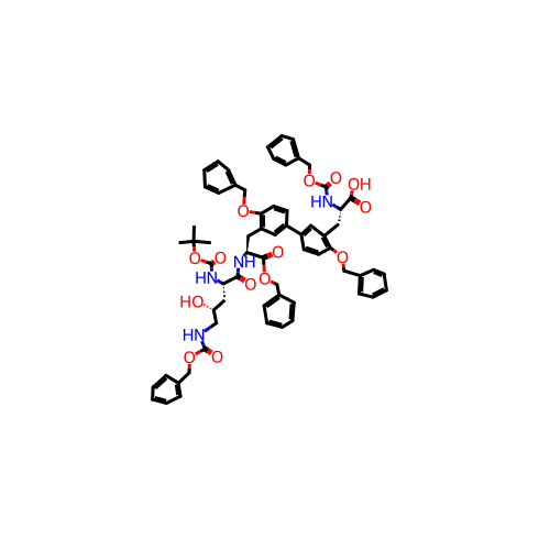 CC(C)(C)OC(=O)N[C@@H](C[C@@H](O)CNC(=O)OCc1ccccc1)C(=O)N[C@@H](Cc1cc(-c2ccc(OCc3ccccc3)c(C[C@H](NC(=O)OCc3ccccc3)C(=O)O)c2)ccc1OCc1ccccc1)C(=O)OCc1ccccc1